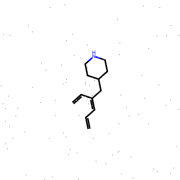 C=C/C=C(\C=C)CC1CCNCC1